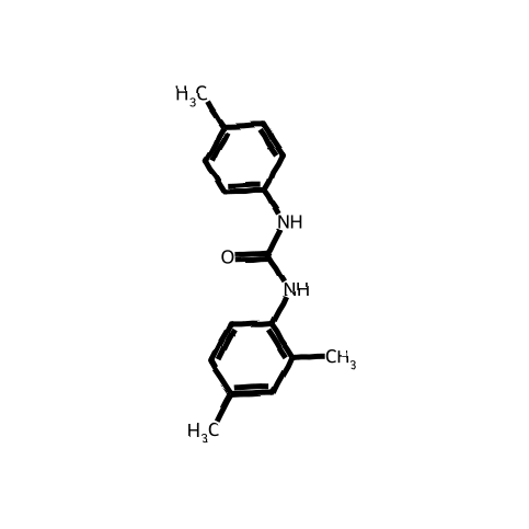 Cc1ccc(NC(=O)Nc2ccc(C)cc2C)cc1